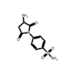 NS(=O)(=O)c1ccc(N2C(=O)CC(P)C2=O)cc1